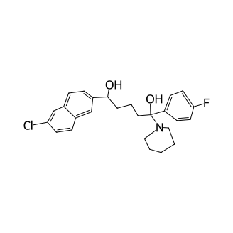 OC(CCCC(O)(c1ccc(F)cc1)N1CCCCC1)c1ccc2cc(Cl)ccc2c1